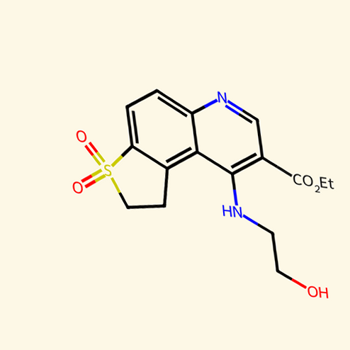 CCOC(=O)c1cnc2ccc3c(c2c1NCCO)CCS3(=O)=O